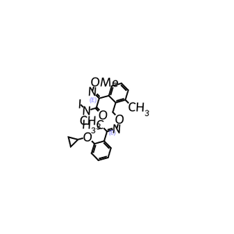 CO/N=C(/C(=O)N(C)I)c1cccc(C)c1CO/N=C(\C)c1ccccc1OC1CC1